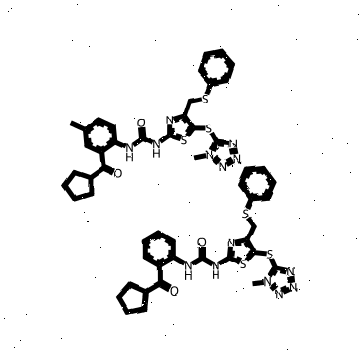 Cc1ccc(NC(=O)Nc2nc(CSc3ccccc3)c(Sc3nnnn3C)s2)c(C(=O)C2CCCC2)c1.Cn1nnnc1Sc1sc(NC(=O)Nc2ccccc2C(=O)C2CCCC2)nc1CSc1ccccc1